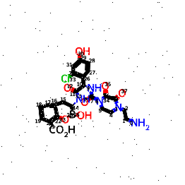 NCCN1CCN(C(=O)N[C@H](C(=O)N[C@H]2Cc3cccc(C(=O)O)c3OB2O)c2ccc(O)cc2Cl)C(=O)C1=O